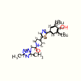 Cc1nc(C)n(CC(=O)N2CCC(c3cnc(-c4cc(C(C)(C)C)c(O)c(C(C)(C)C)c4)s3)CC2)n1